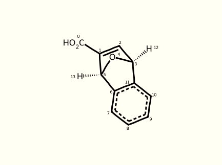 O=C(O)C1=C[C@@H]2O[C@H]1c1ccccc12